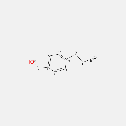 C[C](C)CCc1ccc(CO)cc1